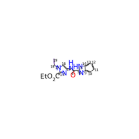 CCOC(=O)c1nc(NC(=O)c2nc3ccccc3[nH]2)cn1CI